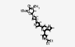 CCC(CC)n1cc(-c2nc(-c3cnn(C4CN(C(=O)CN(C)C(=O)OC(C)(C)C)C4)c3)cn3nccc23)cn1